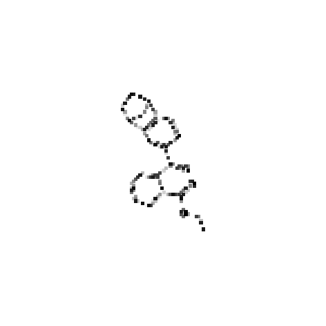 CCOC(=O)c1ccccc1C(=O)c1ccc2c(c1)C1CCC2C1